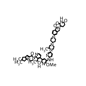 COc1ncc(-c2ccnc(N3CCn4c(cc5c4CC(C)(C)C5)C3=O)c2[C@@H](C)O)cc1Nc1ccc(N2CCN(C3CCN(c4ccc5c(c4)CN([C@H]4CCC(=O)NC4=O)C5=O)CC3)C[C@@H]2C)cn1